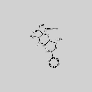 CC[C@@H](C)[C@@H](OC(=O)c1ccccc1)C1O[C@](N=[N+]=[N-])(C(=O)OC)C(N)[C@@H](C)[C@H]1C